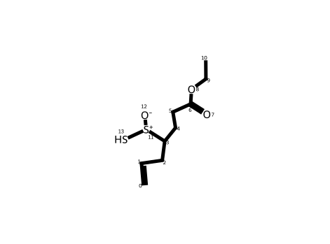 C=CCC(CCC(=O)OCC)[S+]([O-])S